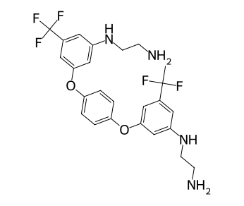 CC(F)(F)c1cc(NCCN)cc(Oc2ccc(Oc3cc(NCCN)cc(C(F)(F)F)c3)cc2)c1